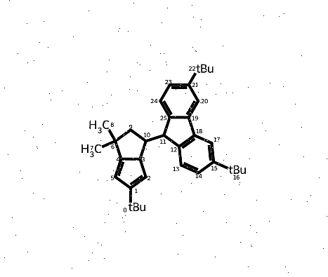 CC(C)(C)C1=CC2C(=C1)C(C)(C)CC2C1c2ccc(C(C)(C)C)cc2-c2cc(C(C)(C)C)ccc21